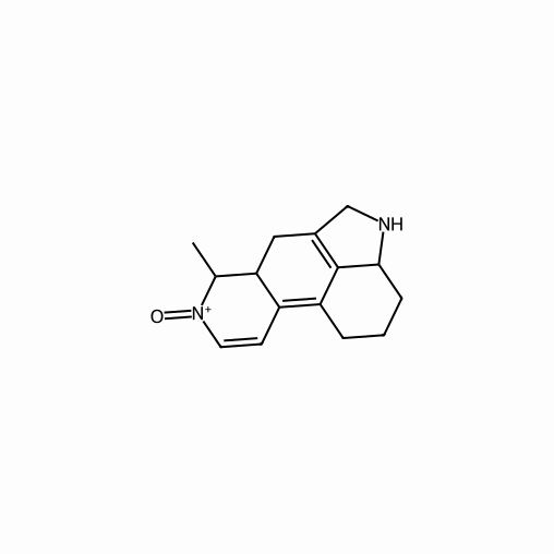 CC1C2CC3=C4C(=C2C=C[N+]1=O)CCCC4NC3